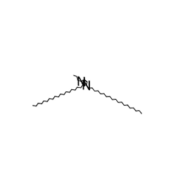 CCCCCCCCCCCCCCCCCCCN1C=CN(CCC)C1CCCCCCCCCCCCCCCCCC